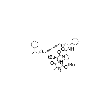 C[C@H](COCC#CC#CCOC[C@@H](NC(=O)[C@@H]1CCCN1C(=O)[C@@H](NC(=O)[C@H](C)N(C)C(=O)OC(C)(C)C)C(C)(C)C)C1CCCCC1)C1CCCCC1